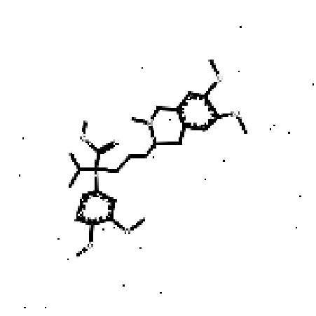 COC(=O)C(CCCC1Cc2cc(OC)c(OC)cc2CN1C)(c1ccc(OC)c(OC)c1)C(C)C